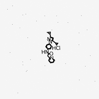 Cl.O=C(Cc1ccccn1)Nc1ccc(-n2nc(C3CC3)cc2C2CC2)cc1